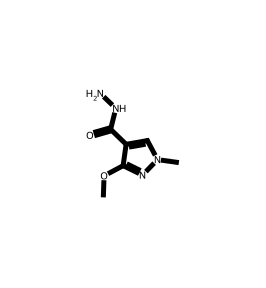 COc1nn(C)cc1C(=O)NN